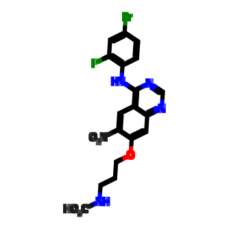 O=C(O)NCCCOc1cc2ncnc(Nc3ccc(Br)cc3F)c2cc1[N+](=O)[O-]